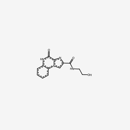 O=C(NCCO)c1cn2c(n1)c(=O)[nH]c1ccccc12